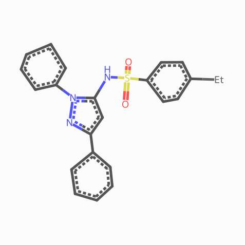 CCc1ccc(S(=O)(=O)Nc2cc(-c3ccccc3)nn2-c2ccccc2)cc1